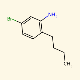 CCCCc1ccc(Br)cc1N